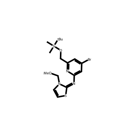 COCn1ccsc1=Nc1cc(Br)cc(CO[Si](C)(C)C(C)(C)C)n1